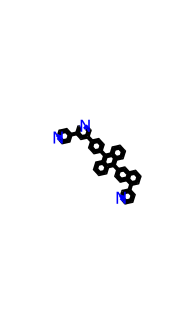 c1cncc(-c2cccc3cc(-c4c5ccccc5c(-c5ccc(-c6cncc(-c7ccncc7)c6)cc5)c5ccccc45)ccc23)c1